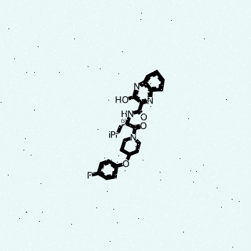 CC(C)C[C@H](NC(=O)c1nc2ccccc2nc1O)C(=O)N1CCC(Oc2ccc(F)cc2)CC1